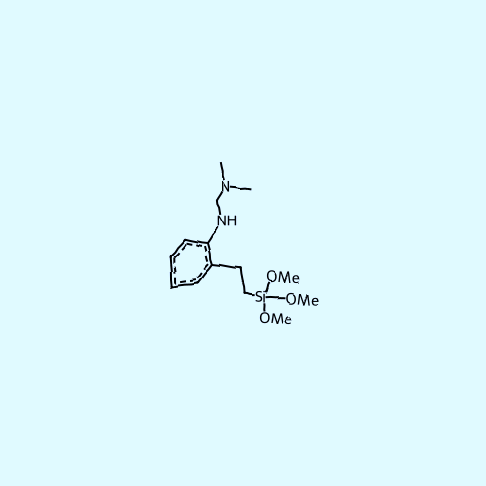 CO[Si](CCc1ccccc1NCN(C)C)(OC)OC